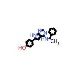 C[C@H](Nc1ncnc2[nH]c(-c3ccc(O)cc3)cc12)c1ccccc1